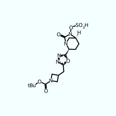 CC(C)(C)OC(=O)N1CC(Cc2nnc([C@@H]3CC[C@H]4CN3C(=O)N4OS(=O)(=O)O)o2)C1